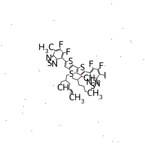 CCCCC(CC)CS1(CC(CC)CCCC)c2cc(-c3c(F)c(F)c(C)c4nsnc34)sc2-c2sc(-c3c(F)c(F)c(I)c4nsnc34)cc21